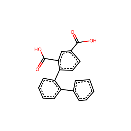 O=C(O)c1ccc(-c2ccccc2-c2ccccc2)c(C(=O)O)c1